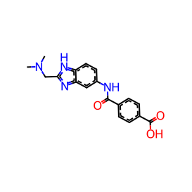 CN(C)Cc1nc2cc(NC(=O)c3ccc(C(=O)O)cc3)ccc2[nH]1